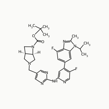 Cc1nc2c(F)cc(-c3cc(Nc4ncc(CN5C[C@H]6CN(C(=O)OC(C)(C)C)[C@H]6C5)cn4)ncc3F)cc2n1C(C)C